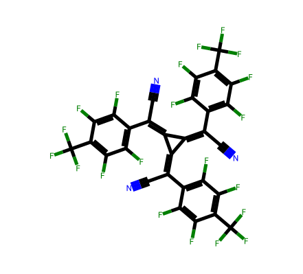 N#CC(=C1C(=C(C#N)c2c(F)c(F)c(C(F)(F)F)c(F)c2F)C1=C(C#N)c1c(F)c(F)c(C(F)(F)F)c(F)c1F)c1c(F)c(F)c(C(F)(F)F)c(F)c1F